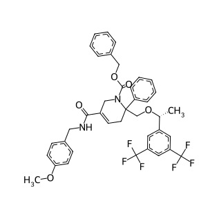 COc1ccc(CNC(=O)C2=CCC(CO[C@H](C)c3cc(C(F)(F)F)cc(C(F)(F)F)c3)(c3ccccc3)N(C(=O)OCc3ccccc3)C2)cc1